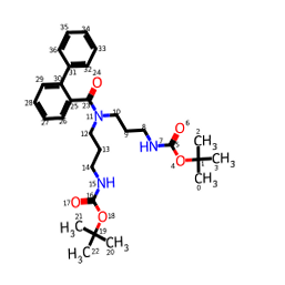 CC(C)(C)OC(=O)NCCCN(CCCNC(=O)OC(C)(C)C)C(=O)c1ccccc1-c1ccccc1